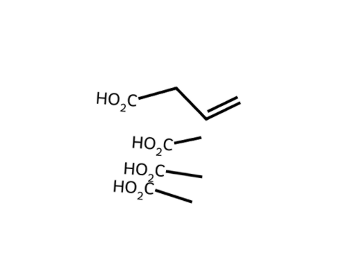 C=CCC(=O)O.CC(=O)O.CC(=O)O.CC(=O)O